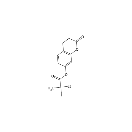 CCC(C)(I)C(=O)Oc1ccc2c(c1)OC(=O)CC2